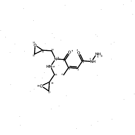 C/C(=C/C(=O)NN)C(=O)N(CC1CO1)NCC1CO1